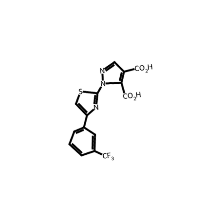 O=C(O)c1cnn(-c2nc(-c3cccc(C(F)(F)F)c3)cs2)c1C(=O)O